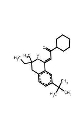 CCC1(C)Cc2ccc(C(C)(C)C)cc2/C(=C/C(=O)C2CCCCC2)N1